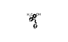 Cc1cc(O)cc2c1c1ccncc1n2CCCN1CCOCC1